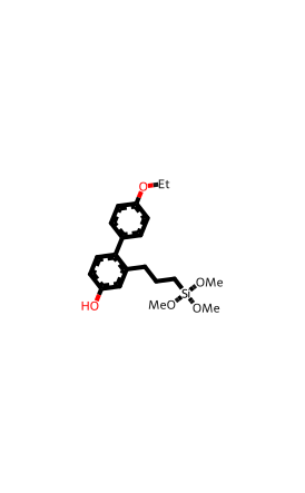 CCOc1ccc(-c2ccc(O)cc2CCC[Si](OC)(OC)OC)cc1